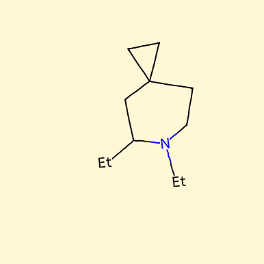 CCC1CC2(CCN1CC)CC2